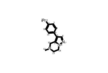 CC(C)c1ccc(-c2cnn3c2CN(C)CC3)cc1